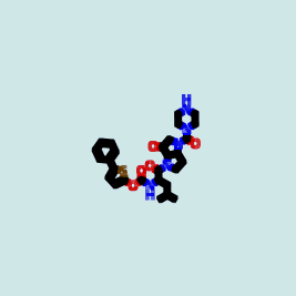 CC(C)CC(NC(=O)Oc1ccc(-c2ccccc2)s1)C(=O)N1CCC2C1C(=O)CN2C(=O)N1CCNCC1